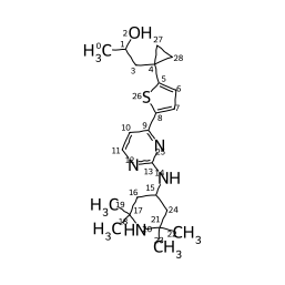 CC(O)CC1(c2ccc(-c3ccnc(NC4CC(C)(C)NC(C)(C)C4)n3)s2)CC1